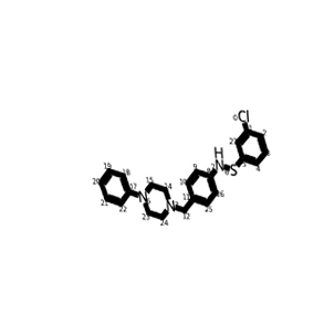 Clc1cccc(SNc2ccc(CN3CCN(c4ccccc4)CC3)cc2)c1